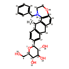 CC1c2ccc([C@@H]3O[C@H](CO)[C@@H](O)C(O)[C@H]3O)cc2Cc2ccc3c(c21)N(Cc1ccccc1)CCO3